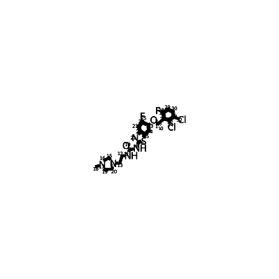 C[C@H](Oc1cc2sc(NC(=O)NCCN3CCN(C)CC3)nc2cc1F)c1c(F)ccc(Cl)c1Cl